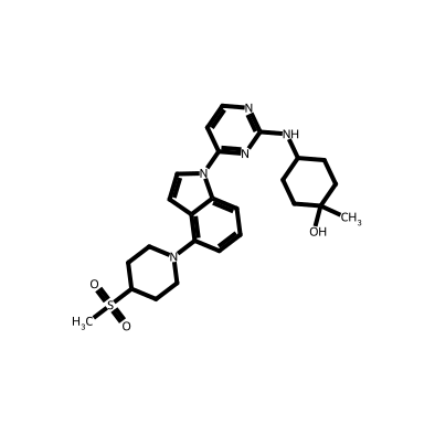 CC1(O)CCC(Nc2nccc(-n3ccc4c(N5CCC(S(C)(=O)=O)CC5)cccc43)n2)CC1